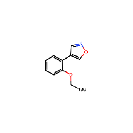 CC(C)(C)COc1ccccc1-c1cnoc1